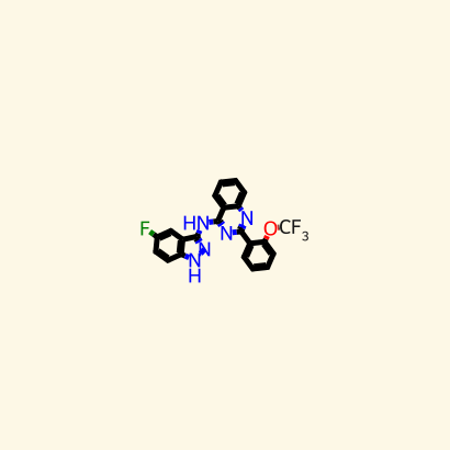 Fc1ccc2[nH]nc(Nc3nc(-c4ccccc4OC(F)(F)F)nc4ccccc34)c2c1